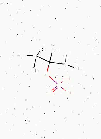 CCCC(OP(=O)(O)O)([Si](C)(C)C)[Si](C)(C)C